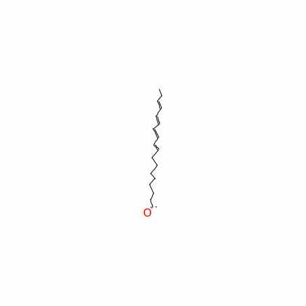 CCC=CC=CC=CC=CCCCCCCC[C]=O